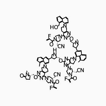 C=C(F)C(=O)N1CCN(c2nc(OC[C@@H]3CC(c4cc(N5CCc6c(nc(OC[C@@H]7CCC(=O)N7C)nc6N6CCN(C(=O)C(=C)F)[C@@H](CC#N)C6)C5)c5c(C)cccc5c4)CN3)nc3c2CCN(c2cc(C4C[C@@H](COc5nc6c(c(N7CCN(C(=O)C(=C)F)[C@@H](CC#N)C7)n5)CCN(c5cccc7cccc(CO)c57)C6)N(C)C4)cc4cccc(C)c24)C3)C[C@@H]1CC#N